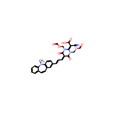 CN1c2ccccc2C=Cc2cc(/C=C/C=c3c(=O)n(COC=O)c(=C(C#N)C(=O)O)n(COC=O)c3=O)ccc21